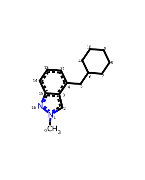 Cn1cc2c(CC3CCCCC3)cccc2n1